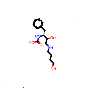 O=C(O)N[C@@H](Cc1ccccc1)[C@@H](O)CNCCCCO